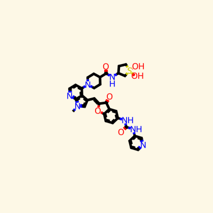 Cn1cc(C=C2Oc3ccc(NC(=O)Nc4cccnc4)cc3C2=O)c2c(N3CCC(C(=O)NC4CCS(O)(O)C4)CC3)ccnc21